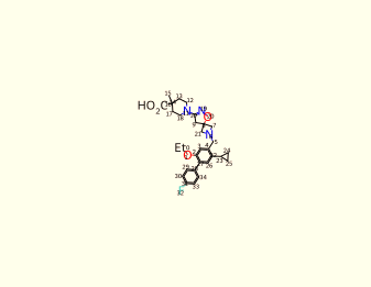 CCOc1cc(CN2CC3(CC(N4CCC(C)(C(=O)O)CC4)=NO3)C2)c(C2CC2)cc1-c1ccc(F)cc1